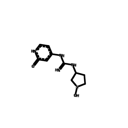 N=C(Nc1cc[nH]c(=O)c1)NC1CCN(O)C1